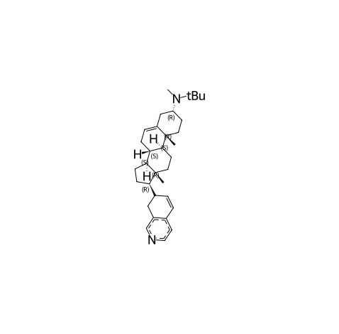 CN([C@@H]1CC[C@@]2(C)C(=CC[C@H]3[C@@H]4CC[C@H](C5C=Cc6ccncc6C5)[C@@]4(C)CC[C@@H]32)C1)C(C)(C)C